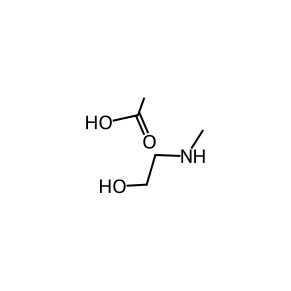 CC(=O)O.CNCCO